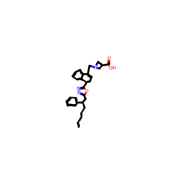 CCCCCC(Cc1nnc(-c2ccc(CN3CC(C(=O)O)C3)c3ccccc23)o1)c1ccccc1